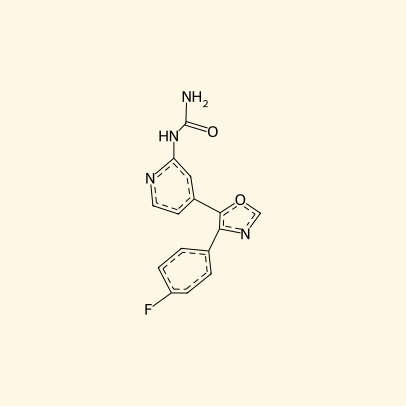 NC(=O)Nc1cc(-c2ocnc2-c2ccc(F)cc2)ccn1